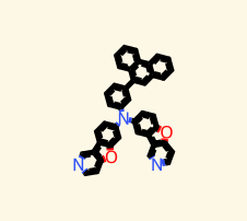 c1cc(-c2cc3ccccc3c3ccccc23)cc(N(c2ccc3c(c2)oc2ccncc23)c2ccc3oc4ccncc4c3c2)c1